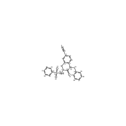 N#Cc1ccc2c(c1)CC(NS(=O)(=O)c1ccccc1)C(=O)N2Cc1ccccc1